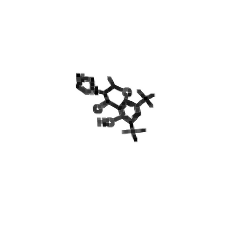 CC1Oc2c(C(C)(C)C)cc(C(C)(C)C)c(O)c2C(=O)C1n1ccnc1